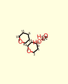 C1CCOCC1.C1CCOCC1.CCO.O